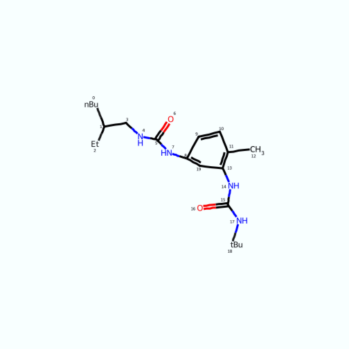 CCCCC(CC)CNC(=O)Nc1ccc(C)c(NC(=O)NC(C)(C)C)c1